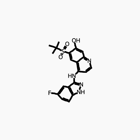 CC(C)(C)S(=O)(=O)c1cc2c(Nc3n[nH]c4ccc(F)cc34)ccnc2cc1O